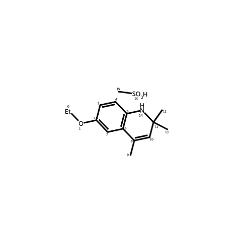 CCOc1ccc2c(c1)C(C)=CC(C)(C)N2.CS(=O)(=O)O